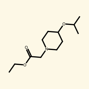 CCOC(=O)CN1CCC(OC(C)C)CC1